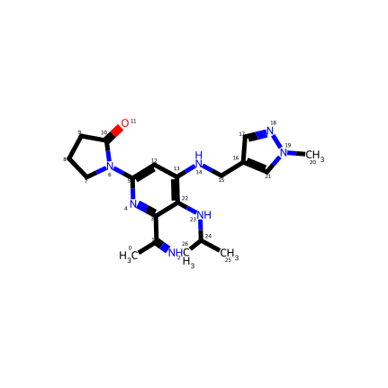 CC(=N)c1nc(N2CCCC2=O)cc(NCc2cnn(C)c2)c1NC(C)C